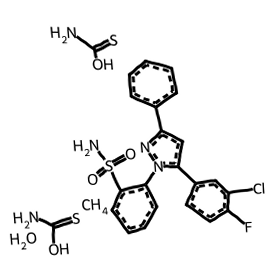 C.NC(O)=S.NC(O)=S.NS(=O)(=O)c1ccccc1-n1nc(-c2ccccc2)cc1-c1ccc(F)c(Cl)c1.O